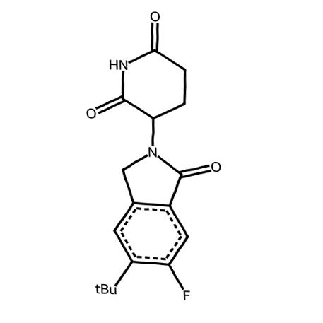 CC(C)(C)c1cc2c(cc1F)C(=O)N(C1CCC(=O)NC1=O)C2